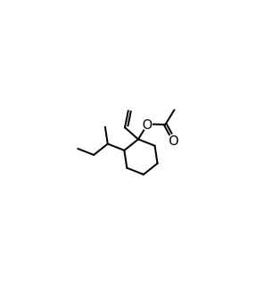 C=CC1(OC(C)=O)CCCCC1C(C)CC